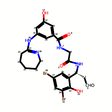 O=CC[C@@H](NC(=O)CNC(=O)c1cc(O)cc(NC2=NCCCCC2)c1)c1cc(Br)cc(Br)c1O